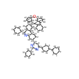 c1ccc(-c2ccc(-c3cc(-c4ccc5c(c4)nc(-c4ccccc4)c4ccc6c(c45)-c4ccccc4C64c5ccccc5Oc5ccccc54)nc(-c4ccccc4)n3)cc2)cc1